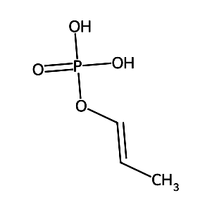 C/C=C/OP(=O)(O)O